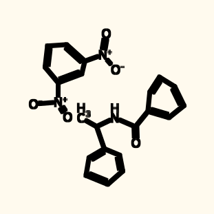 CC(NC(=O)c1ccccc1)c1ccccc1.O=[N+]([O-])c1cccc([N+](=O)[O-])c1